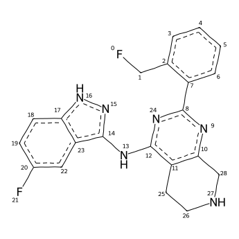 FCc1ccccc1-c1nc2c(c(Nc3n[nH]c4ccc(F)cc34)n1)CCNC2